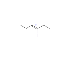 CC/C=C(\I)CC